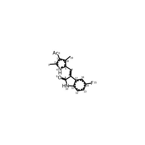 CC(=O)c1c(C)[nH]c(/C=C2\C(=O)Nc3ccc(F)cc32)c1C